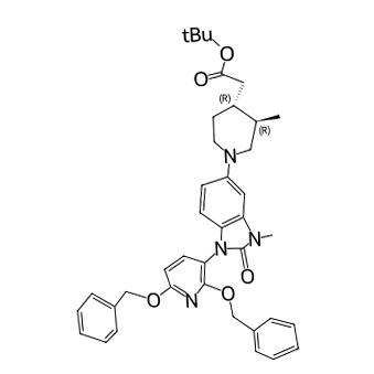 C[C@H]1CN(c2ccc3c(c2)n(C)c(=O)n3-c2ccc(OCc3ccccc3)nc2OCc2ccccc2)CC[C@@H]1CC(=O)OC(C)(C)C